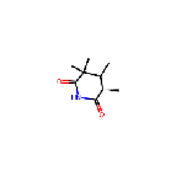 CC1[C@@H](C)C(=O)NC(=O)C1(C)C